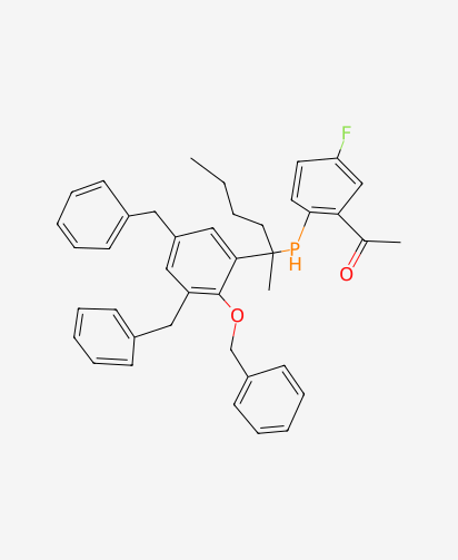 CCCCC(C)(Pc1ccc(F)cc1C(C)=O)c1cc(Cc2ccccc2)cc(Cc2ccccc2)c1OCc1ccccc1